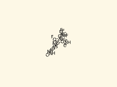 O=C(Cn1nc(C(F)(F)F)c2c1C(F)(F)CC2)NC(Cc1cc(F)cc(F)c1)c1nc2nc(N3CCN(c4nc5ccccc5[nH]4)CC3)sc2cc1-c1ccc2c(c1)C(=O)NC21CC1